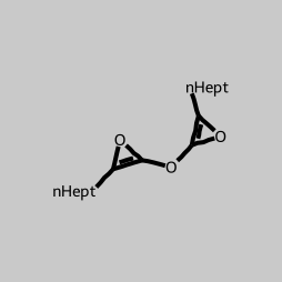 CCCCCCCC1=C(OC2=C(CCCCCCC)O2)O1